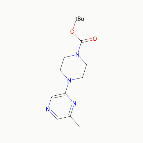 Cc1cncc(N2CCN(C(=O)OC(C)(C)C)CC2)n1